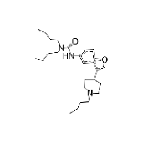 CCCCN1CCC(c2coc3ccc(NC(=O)N(CCCC)CCCC)cc23)CC1